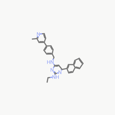 CCNc1nc(NCc2ccc(-c3ccnc(C)c3)cc2)cc(-c2ccc3ccccc3c2)n1